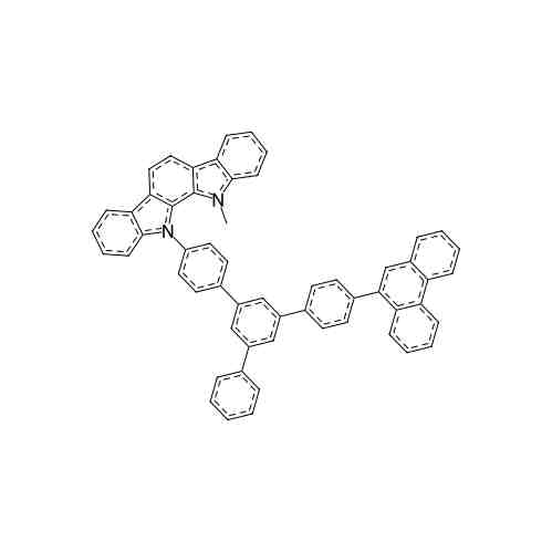 Cn1c2ccccc2c2ccc3c4ccccc4n(-c4ccc(-c5cc(-c6ccccc6)cc(-c6ccc(-c7cc8ccccc8c8ccccc78)cc6)c5)cc4)c3c21